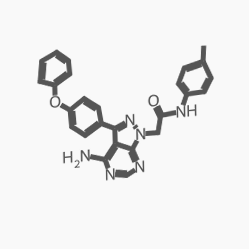 Cc1ccc(NC(=O)Cn2nc(-c3ccc(Oc4ccccc4)cc3)c3c(N)ncnc32)cc1